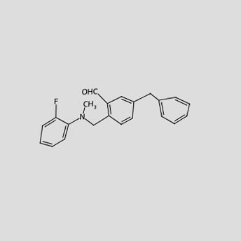 CN(Cc1ccc(Cc2ccccc2)cc1C=O)c1ccccc1F